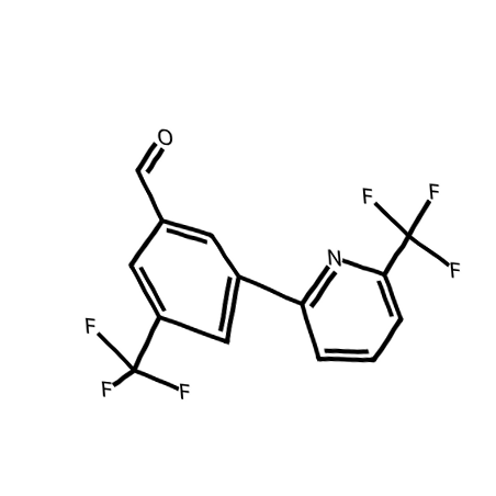 O=Cc1cc(-c2cccc(C(F)(F)F)n2)cc(C(F)(F)F)c1